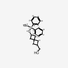 CC(C)(C)[Si](OC1CC2(CC(CO)C2)C1)(c1ccccc1)c1ccccc1